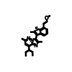 CCC(CC)c1cc(C)nn2c(-c3c(C)sc4c(CCOC)cccc34)c(C)nc12